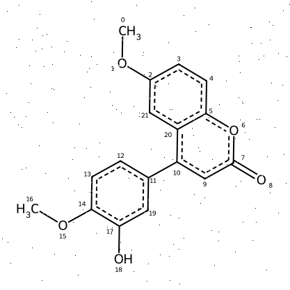 COc1ccc2oc(=O)cc(-c3ccc(OC)c(O)c3)c2c1